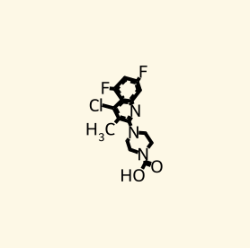 Cc1c(N2CCN(C(=O)O)CC2)nc2cc(F)cc(F)c2c1Cl